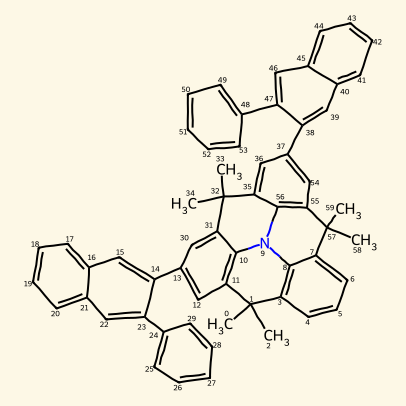 CC1(C)c2cccc3c2N2c4c1cc(-c1cc5ccccc5cc1-c1ccccc1)cc4C(C)(C)c1cc(-c4cc5ccccc5cc4-c4ccccc4)cc(c12)C3(C)C